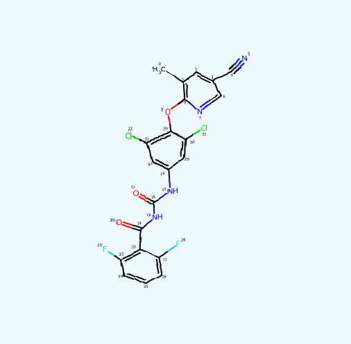 Cc1cc(C#N)cnc1Oc1c(Cl)cc(NC(=O)NC(=O)c2c(F)cccc2F)cc1Cl